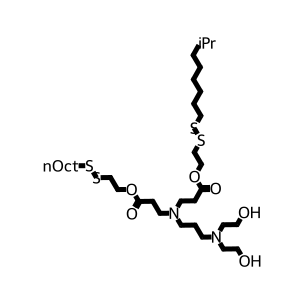 CCCCCCCCSSCCOC(=O)CCN(CCCN(CCO)CCO)CCC(=O)OCCSSCCCCCCC(C)C